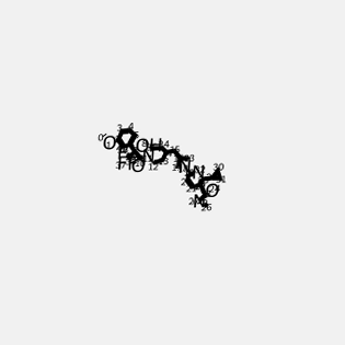 COc1cccc(C(O)(C(=O)N2CCC(CC3CN(c4ccc(C(=O)N(C)C)c(C5CC5)n4)C3)CC2)C(F)(F)F)c1